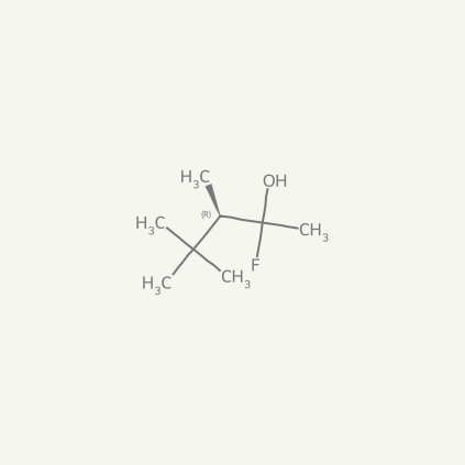 C[C@H](C(C)(C)C)C(C)(O)F